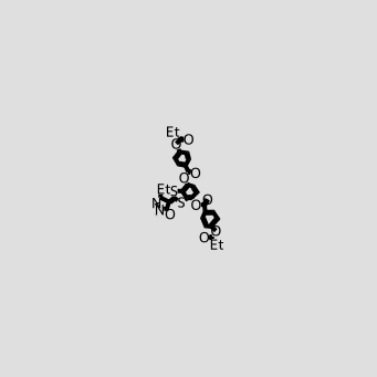 CCC(=O)Oc1ccc(C(=O)Oc2ccc(OC(=O)c3ccc(OC(=O)CC)cc3)c3c2SC(=C2C(=O)N(C)N=C2CC)S3)cc1